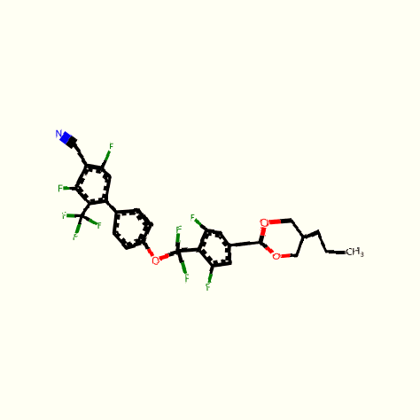 CCCC1COC(c2cc(F)c(C(F)(F)Oc3ccc(-c4cc(F)c(C#N)c(F)c4C(F)(F)F)cc3)c(F)c2)OC1